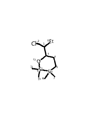 CCC(Cl)C1CC[Si](C)(C)[Si](C)(C)O1